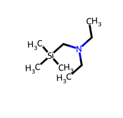 CCN(CC)C[Si](C)(C)C